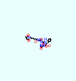 CC1CC(=O)N(CCCCCC(=O)NCC(=O)NCC(=O)N[C@@H](Cc2ccccc2)C(O)NCC(=O)I)C1=O